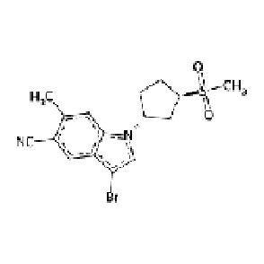 Cc1cc2c(cc1C#N)c(Br)cn2[C@@H]1CC[C@@H](S(C)(=O)=O)C1